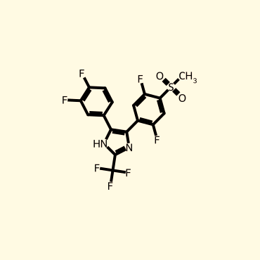 CS(=O)(=O)c1cc(F)c(-c2nc(C(F)(F)F)[nH]c2-c2ccc(F)c(F)c2)cc1F